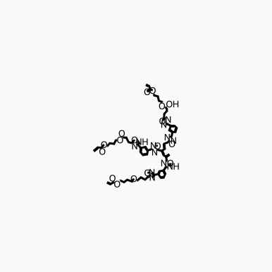 C=CC(=O)OCCCCOCCCc1nc(-c2cccc(C3N=C(C(=C)/C=C(\C=C\c4nc(-c5cccc(-c6noc(CCC(O)OCCCCOC(=O)C=C)n6)c5)no4)c4nc(-c5cccc(C6N=C(CCC(=O)OCCCCOC(=O)C=C)ON6)c5)no4)ON3)c2)no1